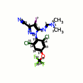 CN(C)C=Nc1c(I)c(C#N)nn1-c1c(Cl)cc(OC(F)(F)F)cc1Cl